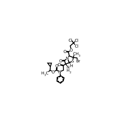 CC(OC(=O)N(CC(=O)C1(N)C(=O)N2C(C(=O)OCC(Cl)(Cl)Cl)C(C)(CBr)S[C@H]21)c1ccccc1)C1CC1